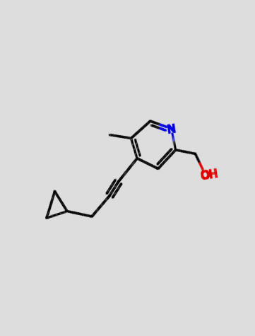 Cc1cnc(CO)cc1C#CCC1CC1